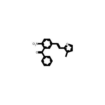 Cc1ccoc1/C=C/c1ccc([N+](=O)[O-])c(C(=O)c2ccccc2)c1